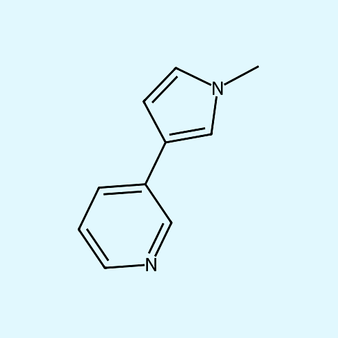 Cn1ccc(-c2cccnc2)c1